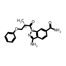 C[C@@H](COc1ccccc1)C(=O)n1nc(N)c2ccc(C(N)=O)cc21